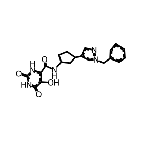 O=C(NC1CCC(c2cnn(Cc3ccccc3)c2)C1)c1[nH]c(=O)[nH]c(=O)c1O